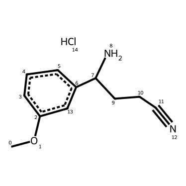 COc1cccc(C(N)CCC#N)c1.Cl